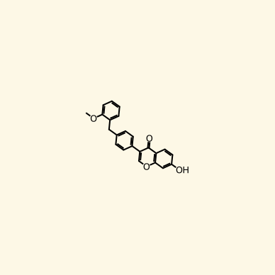 COc1ccccc1Cc1ccc(-c2coc3cc(O)ccc3c2=O)cc1